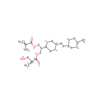 C=C(C)C(=O)OCC(COC(=O)C(=C)CO)C1CCC(CCC2CCC(CC)CC2)CC1